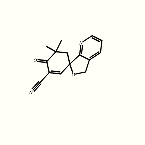 CC1(C)CC2(C=C(C#N)C1=O)OCc1cccnc12